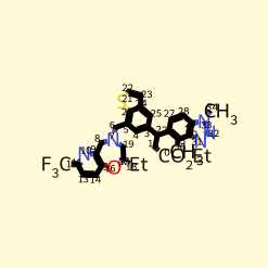 CCOC(=O)CC(c1cc(CN2Cc3nc(C(F)(F)F)ccc3O[C@H](CC)C2)c2sccc2c1)c1ccc2c(nnn2C)c1C